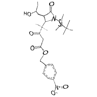 CC(O)C1C(=O)N([Si](C)(C)C(C)(C)C)C1C(C)(C)C(=O)CC(=O)OCc1ccc([N+](=O)[O-])cc1